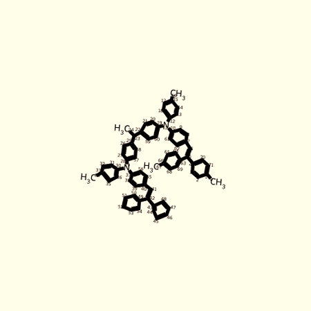 Cc1ccc(C(=Cc2ccc(N(c3ccc(C)cc3)c3ccc(C(C)c4ccc(N(c5ccc(C)cc5)c5ccc(C=C(c6ccccc6)c6ccccc6)cc5)cc4)cc3)cc2)c2ccc(C)cc2)cc1